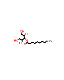 CCCCCCCCCCCCCCCCCC(=O)OC(C(O)CO)C(O)CO